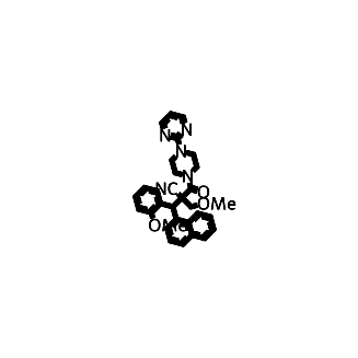 COCC(C#N)(C(=O)N1CCN(c2ncccn2)CC1)C(c1ccccc1OC)c1cccc2ccccc12